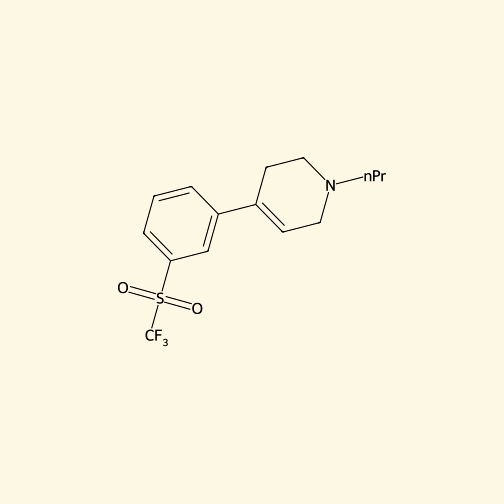 CCCN1CC=C(c2cccc(S(=O)(=O)C(F)(F)F)c2)CC1